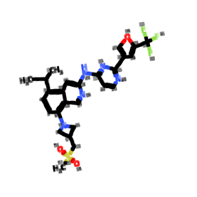 CC(C)c1ccc(N2CC(CS(C)(=O)=O)C2)c2cnc(Nc3ccnc(-c4coc(C(F)(F)F)c4)n3)cc12